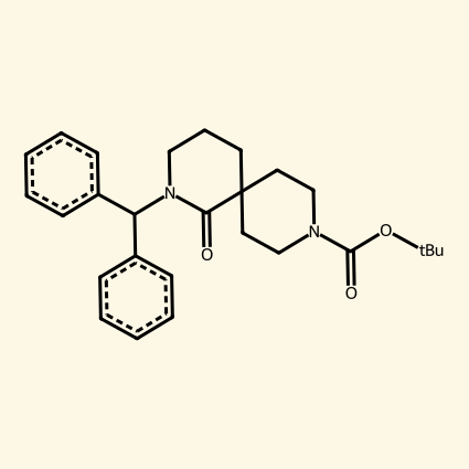 CC(C)(C)OC(=O)N1CCC2(CCCN(C(c3ccccc3)c3ccccc3)C2=O)CC1